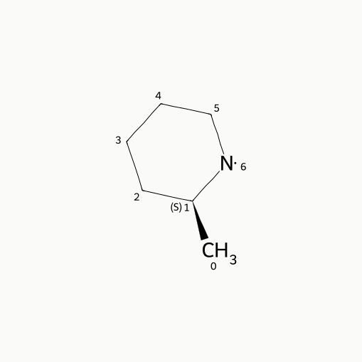 C[C@H]1CCCC[N]1